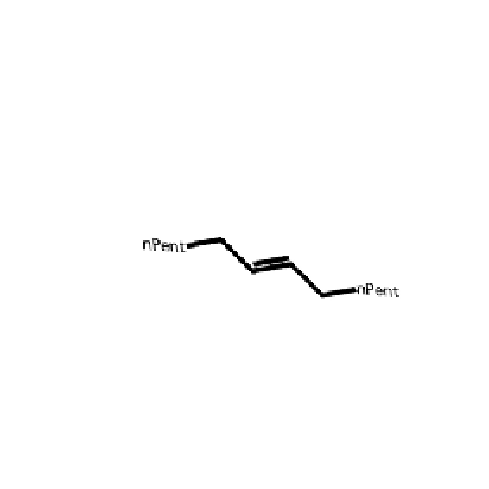 [CH2]CCCCCC=CCCCCC[CH2]